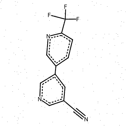 N#Cc1cncc(-c2ccc(C(F)(F)F)nc2)c1